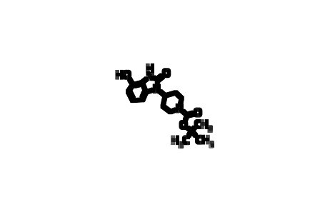 CC(C)(C)OC(=O)N1CCC(n2c(=O)[nH]c3c(O)cccc32)CC1